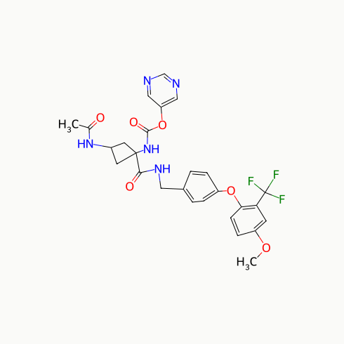 COc1ccc(Oc2ccc(CNC(=O)C3(NC(=O)Oc4cncnc4)CC(NC(C)=O)C3)cc2)c(C(F)(F)F)c1